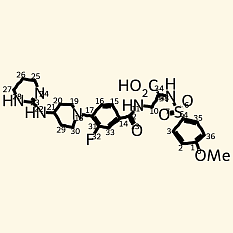 COc1ccc(S(=O)(=O)N[C@@H](CNC(=O)c2ccc(N3CCC(NC4=NCCCN4)CC3)c(F)c2)C(=O)O)cc1